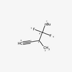 C#CC(C)C(F)(F)CCCC